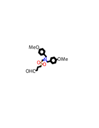 COc1ccc(CN(Cc2ccc(OC)cc2)CS(=O)(=O)CCCC=O)cc1